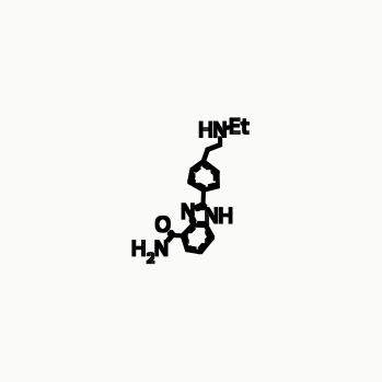 CCNCCc1ccc(-c2nc3c(C(N)=O)cccc3[nH]2)cc1